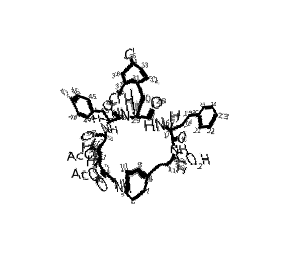 CC(=O)O[C@H]1C(=O)Nc2ccc(cc2)C[C@H](C(=O)O)NC(=O)[C@@H](CCc2ccccc2)NC(=O)[C@H](Cc2ccc(Cl)cc2Cl)NC(=O)[C@@H](Cc2ccccc2)NC(=O)[C@@H]1OC(C)=O